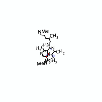 C=C(/C=C\C(=C/C)C(=C)/N=C(/NCC(C)CCCNC)c1nccnc1C)NC